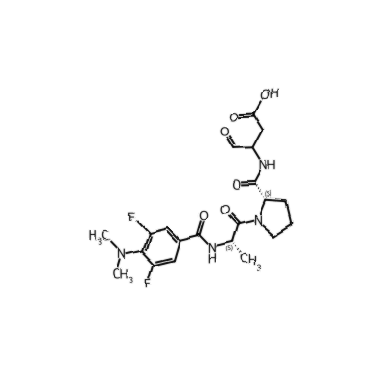 C[C@H](NC(=O)c1cc(F)c(N(C)C)c(F)c1)C(=O)N1CCC[C@H]1C(=O)NC(C=O)CC(=O)O